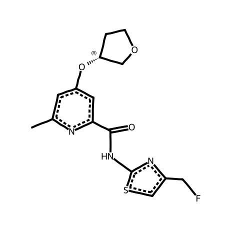 Cc1cc(O[C@@H]2CCOC2)cc(C(=O)Nc2nc(CF)cs2)n1